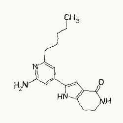 CCCCCc1cc(-c2cc3c([nH]2)CCNC3=O)cc(N)n1